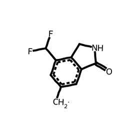 [CH2]c1cc2c(c(C(F)F)c1)CNC2=O